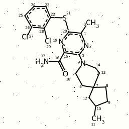 Cc1nc(N2CCC3(CCC(C)C3)CC2)c(C(N)=O)nc1Sc1cccc(Cl)c1Cl